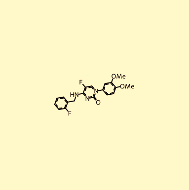 COc1ccc(-n2cc(F)c(NCc3ccccc3F)nc2=O)cc1OC